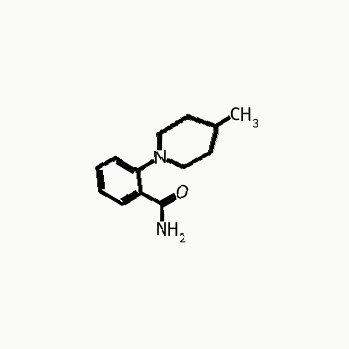 CC1CCN(c2ccccc2C(N)=O)CC1